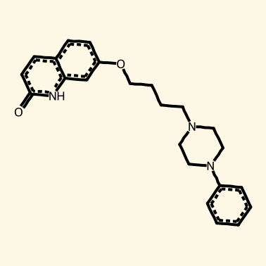 O=c1ccc2ccc(OCCCCN3CCN(c4ccccc4)CC3)cc2[nH]1